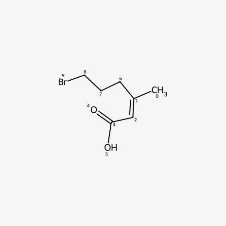 CC(=CC(=O)O)CCCBr